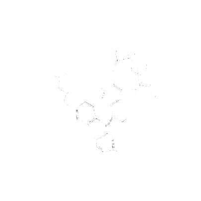 CC/C(=C(\c1ccccc1)c1ccc(OCCN(C)C)cc1)c1ccccc1.O=C(O)[C@H](O)[C@@H](O)[C@H](O)[C@H](O)CO